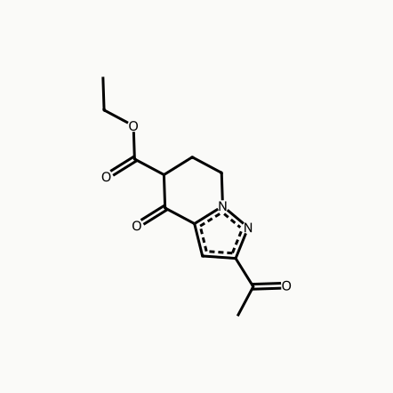 CCOC(=O)C1CCn2nc(C(C)=O)cc2C1=O